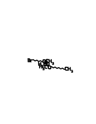 CCCCCCCCCOC(C)O[Si](C)(C)OCCCCCCBr